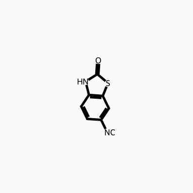 [C-]#[N+]c1ccc2[nH]c(=O)sc2c1